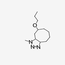 CCCOC1CCCCC2N=NN(C)C2C1